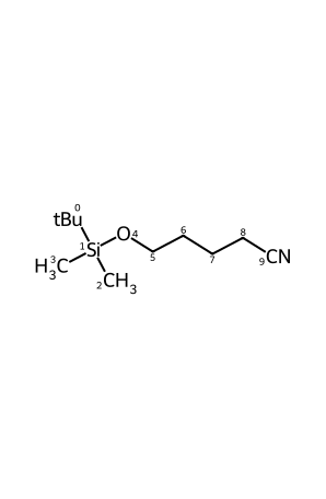 CC(C)(C)[Si](C)(C)OCCCCC#N